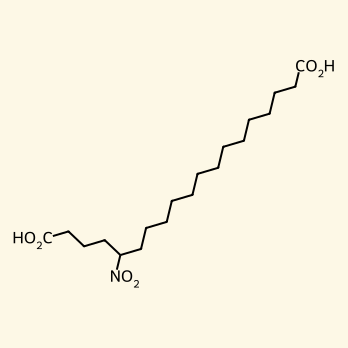 O=C(O)CCCCCCCCCCCCCC(CCCC(=O)O)[N+](=O)[O-]